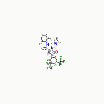 Cc1cccc(C)c1N1C[C@@](CN2CCC2)(C(=O)Nc2cc(C(F)(F)F)cc(C(F)(F)F)c2)C(C)C1=O